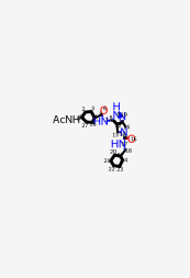 CC(=O)Nc1ccc(C(=O)Nc2[nH]nc3c2CN(C(=O)NCc2ccccc2)C3)cc1